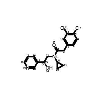 O=C(Cc1ccc(Cl)c(Cl)c1)N(C[C@@H](O)c1cccnc1)C1CC1